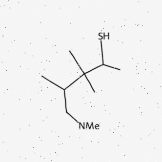 CNCC(C)C(C)(C)C(C)S